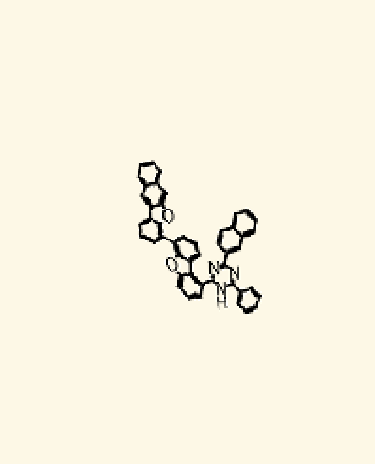 c1ccc(C2=NC(c3ccc4ccccc4c3)=NC(c3cccc4oc5c(-c6cccc7c6oc6cc8ccccc8cc67)cccc5c34)N2)cc1